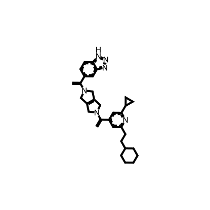 C=C(c1cc(CCC2CCCCC2)nc(C2CC2)c1)N1CC2=C(C1)CN(C(=C)c1ccc3[nH]nnc3c1)C2